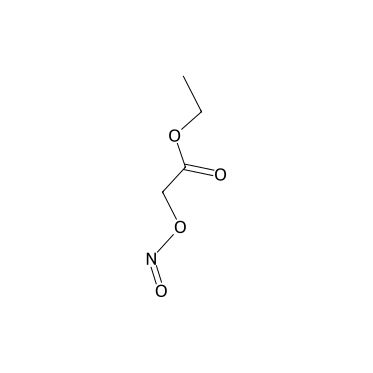 CCOC(=O)CON=O